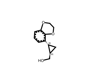 OC[C@@H]1C[C@H]1c1cccc2c1OCCO2